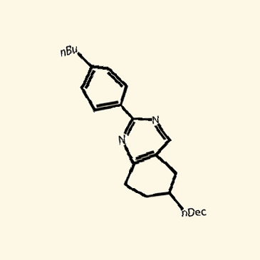 CCCCCCCCCCC1CCc2nc(-c3ccc(CCCC)cc3)ncc2C1